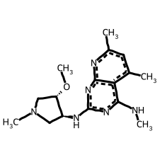 CNc1nc(N[C@H]2CN(C)C[C@@H]2OC)nc2nc(C)cc(C)c12